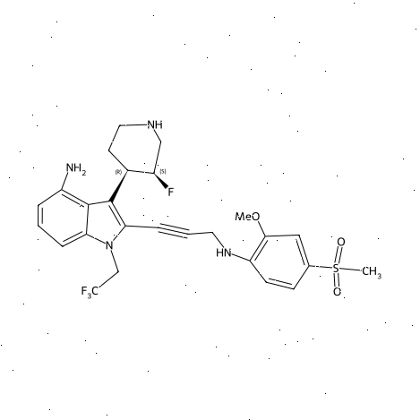 COc1cc(S(C)(=O)=O)ccc1NCC#Cc1c([C@H]2CCNC[C@H]2F)c2c(N)cccc2n1CC(F)(F)F